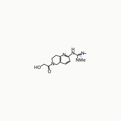 C/N=C(\NC)Nc1ccc2c(n1)CCN(C(=O)CO)C2